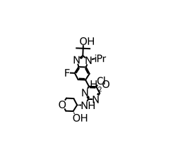 CC(C)n1c(C(C)(C)O)nc2c(F)cc(-c3nc(N[C@@H]4CCOC[C@H]4O)ncc3Cl)cc21.O